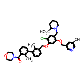 Cc1c(COc2cc(OCc3cncc(C#N)c3)c(CN3CCCCC3C(=O)O)cc2Cl)cccc1-c1cccc(C(=O)N2CCOCC2)c1C